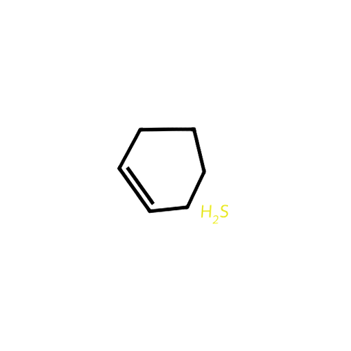 C1=CCCCC1.S